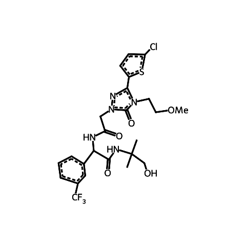 COCCn1c(-c2ccc(Cl)s2)nn(CC(=O)NC(C(=O)NC(C)(C)CO)c2cccc(C(F)(F)F)c2)c1=O